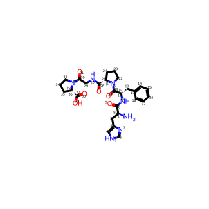 N[C@@H](Cc1c[nH]cn1)C(=O)N[C@@H](Cc1ccccc1)C(=O)N1CCC[C@H]1C(=O)NCC(=O)N1CCC[C@H]1C(=O)O